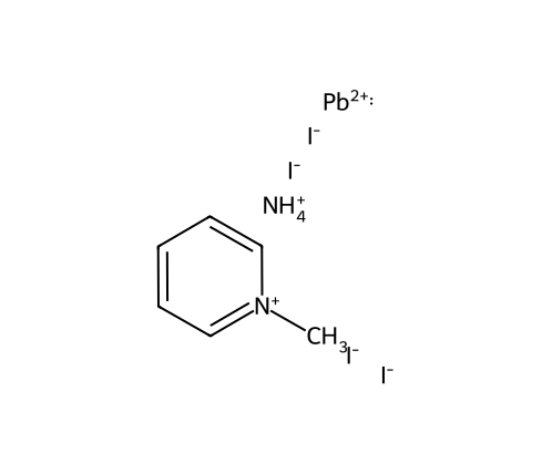 C[n+]1ccccc1.[I-].[I-].[I-].[I-].[NH4+].[Pb+2]